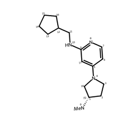 CN[C@H]1CCN(c2ccnc(NCC3CCCC3)c2)C1